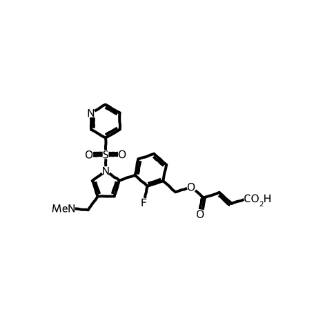 CNCc1cc(-c2cccc(COC(=O)/C=C/C(=O)O)c2F)n(S(=O)(=O)c2cccnc2)c1